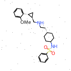 COc1ccccc1[C@@H]1C[C@H]1CNCC[C@H]1CC[C@H](NS(=O)(=O)c2ccccc2)CC1